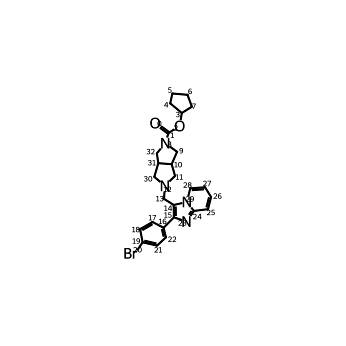 O=C(OC1CCCC1)N1CC2CN(Cc3c(-c4ccc(Br)cc4)nc4ccccn34)CC2C1